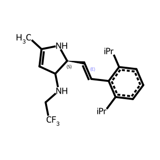 CC1=CC(NCC(F)(F)F)[C@H](/C=C/c2c(C(C)C)cccc2C(C)C)N1